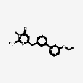 CCOc1cccc(-c2cccc(Cc3cc(=O)n(C)c(N)n3)c2)c1